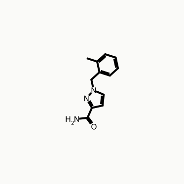 Cc1ccccc1Cn1ccc(C(N)=O)n1